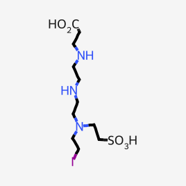 O=C(O)CCNCCNCCN(CCI)CCS(=O)(=O)O